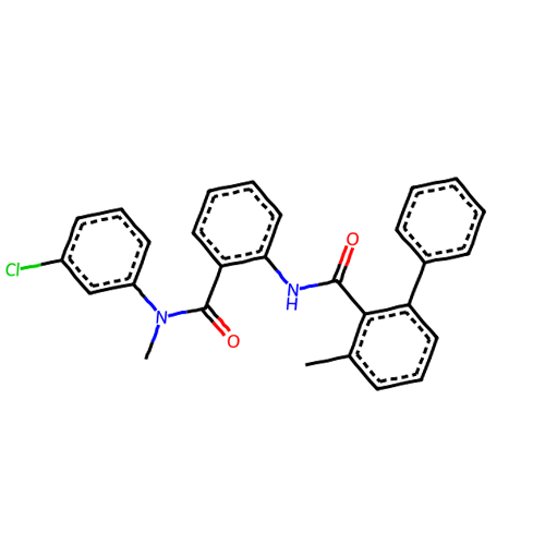 Cc1cccc(-c2ccccc2)c1C(=O)Nc1ccccc1C(=O)N(C)c1cccc(Cl)c1